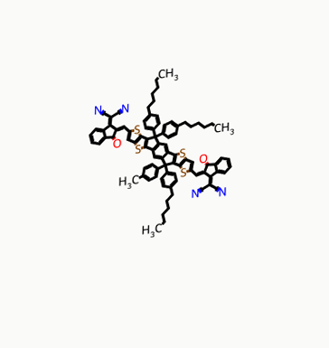 CCCCCCc1ccc(C2(c3ccc(C)cc3)c3cc4c(cc3-c3sc5cc(/C=C6\C(=O)c7ccccc7C6=C(C#N)C#N)sc5c32)C(c2ccc(CCCCCC)cc2)(c2ccc(CCCCCC)cc2)c2c-4sc3cc(/C=C4\C(=O)c5ccccc5C4=C(C#N)C#N)sc23)cc1